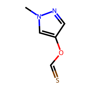 Cn1cc(OC=S)cn1